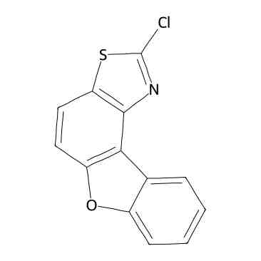 Clc1nc2c(ccc3oc4ccccc4c32)s1